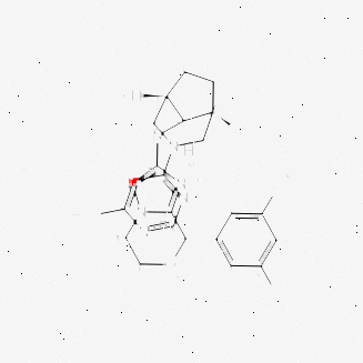 Cc1cc(N2C[C@H]3CC[C@@H](C2)[C@@H]3Nc2nc3n(n2)CCO[C@H]3c2cc(F)cc(Cl)c2)ncn1